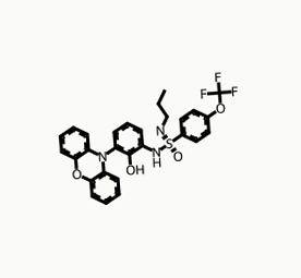 CCCN=S(=O)(Nc1cccc(N2c3ccccc3Oc3ccccc32)c1O)c1ccc(OC(F)(F)F)cc1